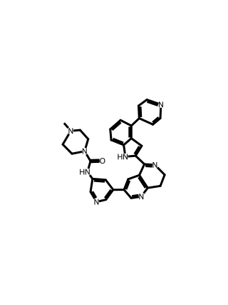 CN1CCN(C(=O)Nc2cncc(-c3cnc4c(c3)C(c3cc5c(-c6ccncc6)cccc5[nH]3)=NCC4)c2)CC1